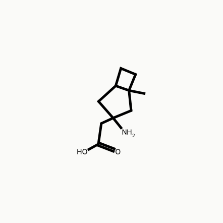 CC12CCC1CC(N)(CC(=O)O)C2